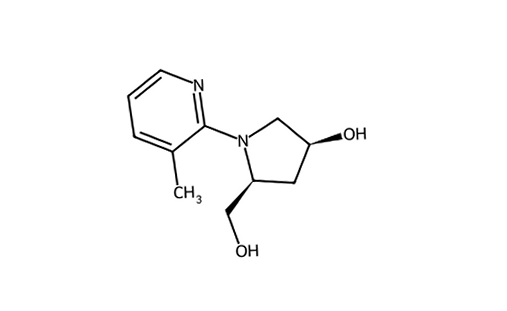 Cc1cccnc1N1C[C@@H](O)C[C@H]1CO